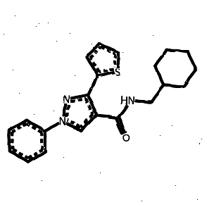 O=C(NCC1CCCCC1)c1cn(-c2ccccc2)nc1-c1cccs1